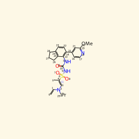 C=CN(/C=C(\C)S(=O)(=O)NC(=O)Nc1c(-c2ccnc(OC)c2)ccc2c1CCC2)C(C)C